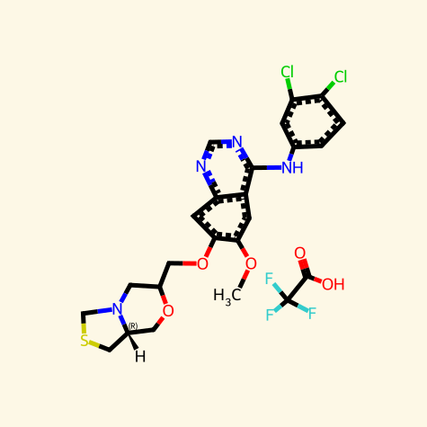 COc1cc2c(Nc3ccc(Cl)c(Cl)c3)ncnc2cc1OCC1CN2CSC[C@H]2CO1.O=C(O)C(F)(F)F